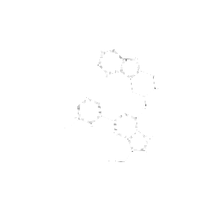 C[C@H](O)c1cnn2c(N[C@@H]3CCc4[nH]c5ccccc5c4C3)nc(-c3cncc(F)c3)nc12